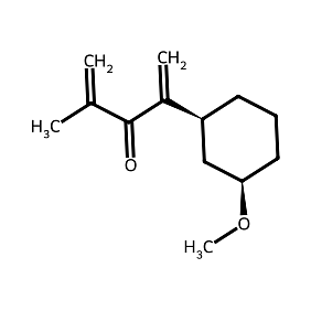 C=C(C)C(=O)C(=C)[C@H]1CCC[C@@H](OC)C1